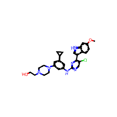 COc1ccc2c(-c3nc(Nc4cc(C5CC5)cc(N5CCN(CCO)CC5)c4)ncc3Cl)c[nH]c2c1